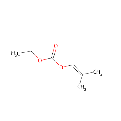 CCOC(=O)OC=C(C)C